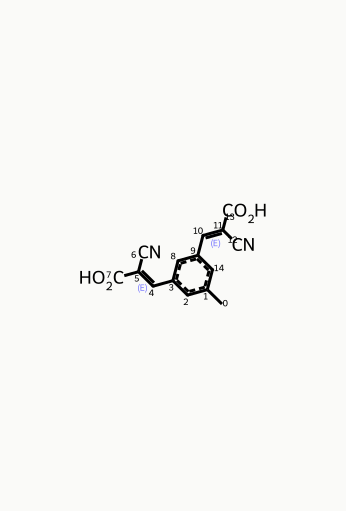 Cc1cc(/C=C(\C#N)C(=O)O)cc(/C=C(\C#N)C(=O)O)c1